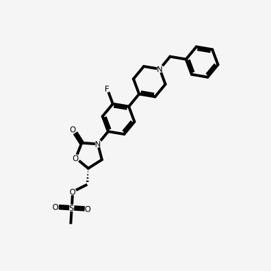 CS(=O)(=O)OC[C@H]1CN(c2ccc(C3=CCN(Cc4ccccc4)CC3)c(F)c2)C(=O)O1